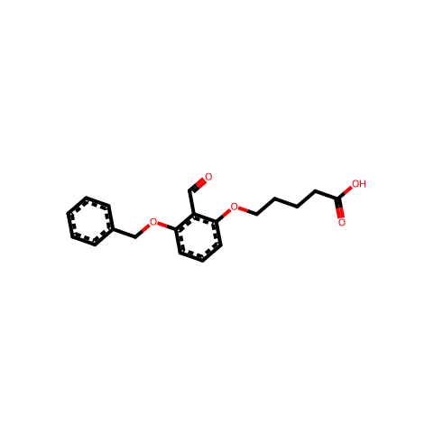 O=Cc1c(OCCCCC(=O)O)cccc1OCc1ccccc1